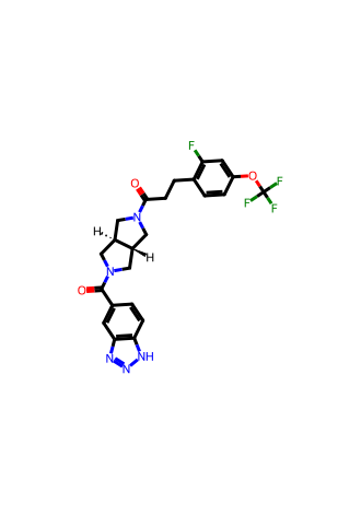 O=C(CCc1ccc(OC(F)(F)F)cc1F)N1C[C@@H]2CN(C(=O)c3ccc4[nH]nnc4c3)C[C@H]2C1